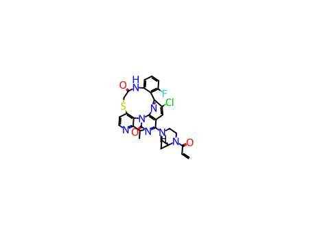 C=CC(=O)N1CCN(c2nc(=O)n3c4nc(c(Cl)cc24)-c2c(F)cccc2NC(=O)CSc2ccnc(C(C)C)c2-3)C2C[C@H]21